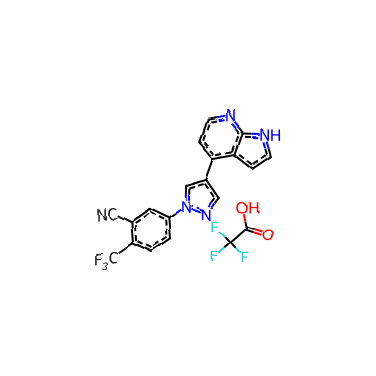 N#Cc1cc(-n2cc(-c3ccnc4[nH]ccc34)cn2)ccc1C(F)(F)F.O=C(O)C(F)(F)F